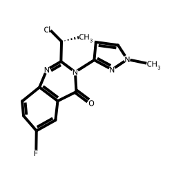 C[C@@H](Cl)c1nc2ccc(F)cc2c(=O)n1-c1ccn(C)n1